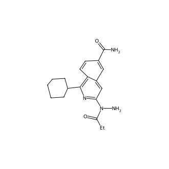 CCC(=O)N(N)c1cc2cc(C(N)=O)ccc2c(C2CCCCC2)n1